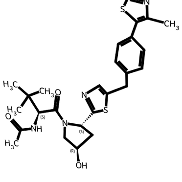 CC(=O)N[C@H](C(=O)N1C[C@H](O)C[C@H]1c1ncc(Cc2ccc(-c3scnc3C)cc2)s1)C(C)(C)C